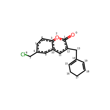 O=c1oc2ccc(CCl)cc2cc1CC1=CCCC=C1